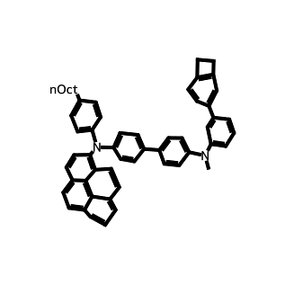 CCCCCCCCc1ccc(N(c2ccc(-c3ccc(N(C)c4cccc(-c5ccc6c(c5)CC6)c4)cc3)cc2)c2ccc3ccc4cccc5ccc2c3c45)cc1